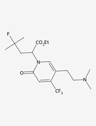 CCOC(=O)C(CC(C)(C)F)n1cc(CCN(C)C)c(C(F)(F)F)cc1=O